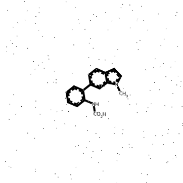 Cn1ccc2ccc(-c3ccccc3NC(=O)O)cc21